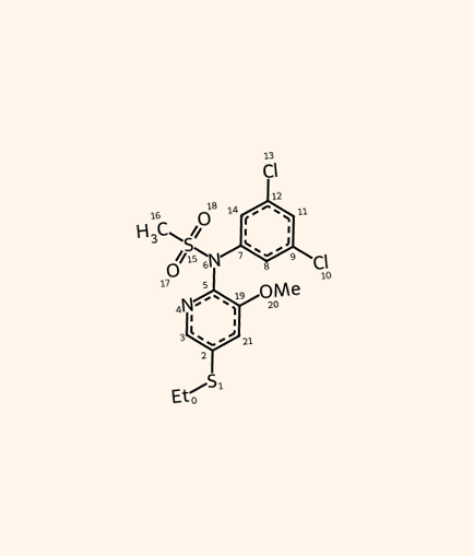 CCSc1cnc(N(c2cc(Cl)cc(Cl)c2)S(C)(=O)=O)c(OC)c1